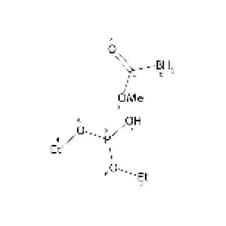 BC(=O)OC.CCOP(O)OCC